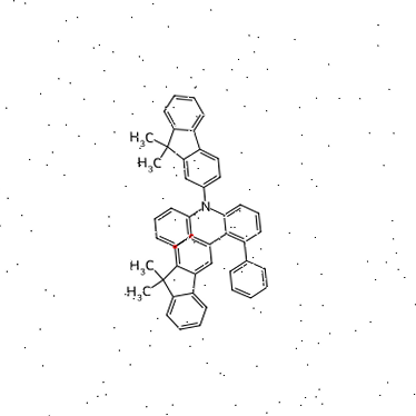 CC1(C)c2ccccc2-c2cc(-c3c(-c4ccccc4)cccc3N(c3ccccc3)c3ccc4c(c3)C(C)(C)c3ccccc3-4)ccc21